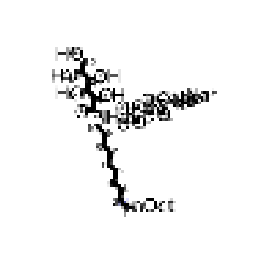 CCCCCCCC/C=C\CCCCCCCCNC(=O)[C@H](O)[C@@H](O)[C@H](O)[C@H](O)CO.O=S(=O)([O-])[O-].O=S(=O)([O-])[O-].[Na+].[Na+].[Na+].[Na+]